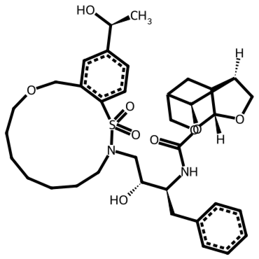 C[C@H](O)c1ccc2c(c1)COCCCCCCCN(C[C@@H](O)[C@H](Cc1ccccc1)NC(=O)O[C@H]1C3CO[C@H]4OC[C@@H]1C4C3)S2(=O)=O